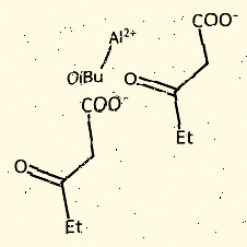 CC(C)C[O][Al+2].CCC(=O)CC(=O)[O-].CCC(=O)CC(=O)[O-]